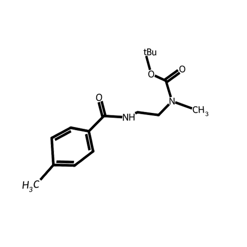 Cc1ccc(C(=O)NCCN(C)C(=O)OC(C)(C)C)cc1